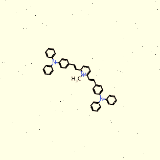 C[n+]1c(/C=C/c2ccc(N(c3ccccc3)c3ccccc3)cc2)cccc1/C=C/c1ccc(N(c2ccccc2)c2ccccc2)cc1